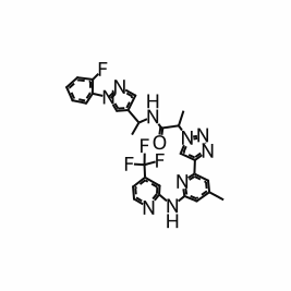 Cc1cc(Nc2cc(C(F)(F)F)ccn2)nc(-c2cn(C(C)C(=O)NC(C)c3cnn(-c4ccccc4F)c3)nn2)c1